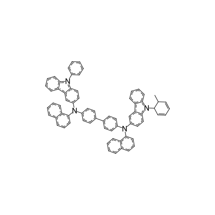 CC1C=CC=CC1n1c2ccccc2c2cc(N(c3ccc(-c4ccc(N(c5ccc6c(c5)c5ccccc5n6-c5ccccc5)c5cccc6ccccc56)cc4)cc3)c3cccc4ccccc34)ccc21